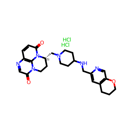 Cl.Cl.O=c1cnc2ccc(=O)n3c2n1CC[C@H]3CN1CCC(NCc2cc3c(cn2)OCCC3)CC1